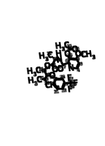 COc1ccnc(C(=O)N[C@@H](C)C(=O)O[C@@H](C)[C@@H](Oc2cccc(C(F)(F)F)c2)C(C)C)c1OC(C)=O